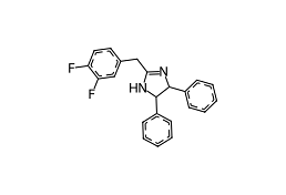 Fc1ccc(CC2=NC(c3ccccc3)C(c3ccccc3)N2)cc1F